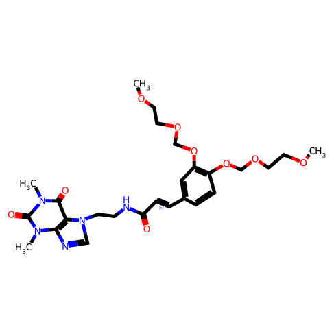 COCCOCOc1ccc(/C=C/C(=O)NCCn2cnc3c2c(=O)n(C)c(=O)n3C)cc1OCOCCOC